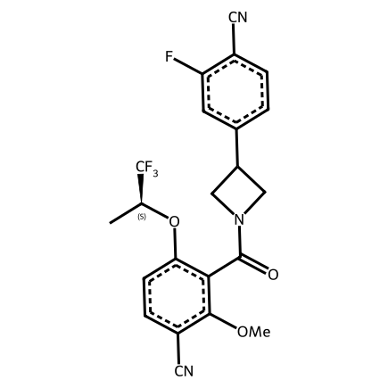 COc1c(C#N)ccc(O[C@@H](C)C(F)(F)F)c1C(=O)N1CC(c2ccc(C#N)c(F)c2)C1